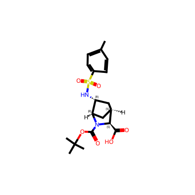 Cc1ccc(S(=O)(=O)N[C@@H]2C[C@@H]3C[C@H]2N(C(=O)OC(C)(C)C)[C@@H]3C(=O)O)cc1